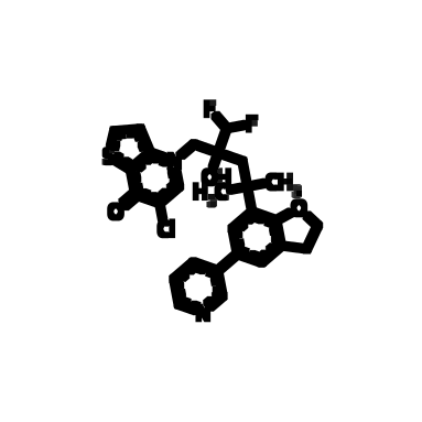 CC(C)(CC(O)(Cn1cc(Cl)c(=O)c2sccc21)C(F)F)c1cc(-c2cccnc2)cc2c1OCC2